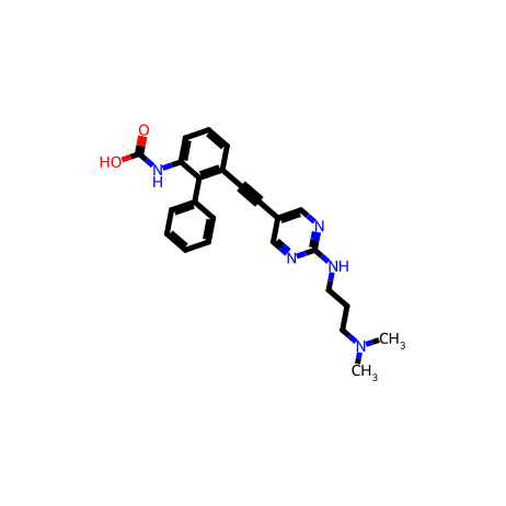 CN(C)CCCNc1ncc(C#Cc2cccc(NC(=O)O)c2-c2ccccc2)cn1